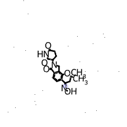 CC1(C)C/C(=N\O)c2ccc3c(c2O1)CN(C1CCC(=O)NC1=O)C3=O